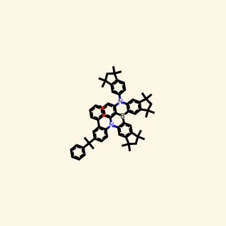 Cc1cc2c3c(c1)N(c1ccc(C(C)(C)c4ccccc4)cc1-c1ccccc1)c1cc4c(cc1B3c1cc3c(cc1N2c1ccc2c(c1)C(C)(C)CC2(C)C)C(C)(C)CC3(C)C)C(C)(C)CC4(C)C